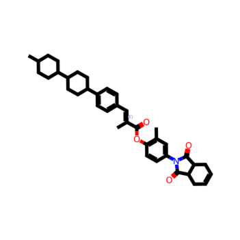 C/C(=C\c1ccc(C2CCC(C3CCC(C)CC3)CC2)cc1)C(=O)Oc1ccc(N2C(=O)C3CC=CCC3C2=O)cc1C